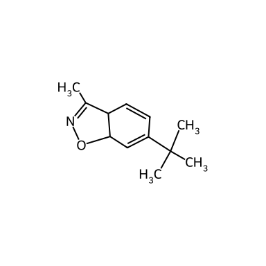 CC1=NOC2C=C(C(C)(C)C)C=CC12